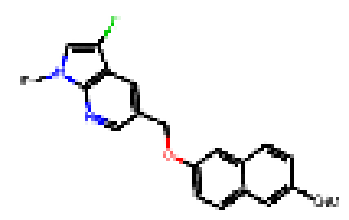 CC(C)n1cc(Cl)c2cc(COc3ccc4cc(C=O)ccc4c3)cnc21